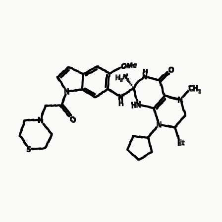 CCC1CN(C)C2=C(N[C@@](N)(Nc3cc4c(ccn4C(=O)CN4CCSCC4)cc3OC)NC2=O)N1C1CCCC1